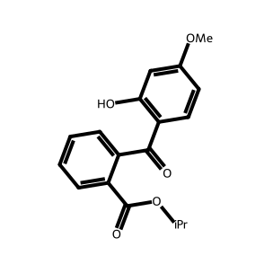 COc1ccc(C(=O)c2ccccc2C(=O)OC(C)C)c(O)c1